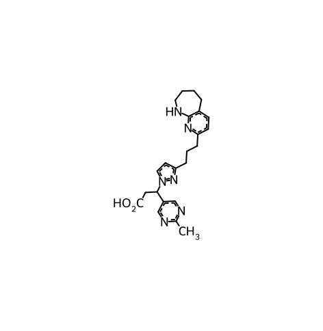 Cc1ncc(C(CC(=O)O)n2ccc(CCCc3ccc4c(n3)NCCCC4)n2)cn1